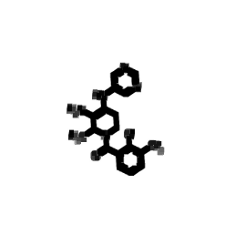 CC1C(N)=C(Nc2cncnc2)CCN1C(=O)c1cccc(C(F)(F)F)c1Cl